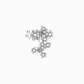 Bc1c(B)c(B)c(-c2nc(-c3ccccc3)nc(-c3cc(-c4ccc(-c5nc(-c6ccccc6)nc(-c6ccccc6)n5)c5sc6ccccc6c45)ccc3-n3c4ccccc4c4ccccc43)n2)c(B)c1B